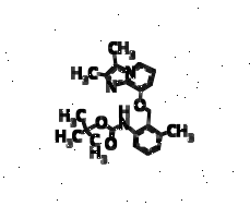 Cc1cccc(NC(=O)OC(C)(C)C)c1COc1cccn2c(C)c(C)nc12